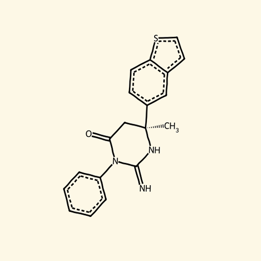 C[C@@]1(c2ccc3sccc3c2)CC(=O)N(c2ccccc2)C(=N)N1